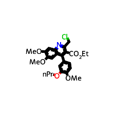 CCCOc1cc(-c2c(C(=O)OCC)c(CCl)nc3cc(OC)c(OC)cc23)ccc1OC